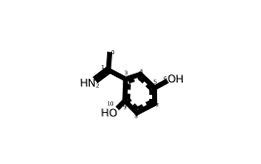 CC(=N)c1cc(O)ccc1O